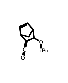 CC(C)(C)OC1C(=C=O)C2C=CC1C2